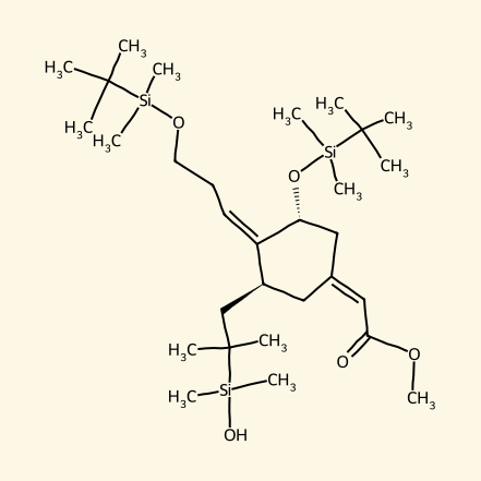 COC(=O)/C=C1\C[C@@H](CC(C)(C)[Si](C)(C)O)/C(=C/CCO[Si](C)(C)C(C)(C)C)[C@H](O[Si](C)(C)C(C)(C)C)C1